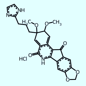 COC1C=c2c3c([nH]c(=O)c2=CC1(CCCc1ncc[nH]1)OC)-c1cc2c(cc1C3=O)OCO2.Cl